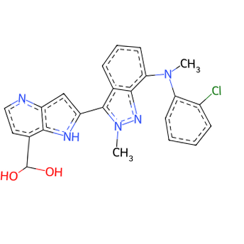 CN(c1ccccc1Cl)c1cccc2c(-c3cc4nccc(C(O)O)c4[nH]3)n(C)nc12